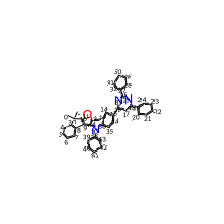 CC1(C)c2ccccc2-c2c1oc1c3cc(-c4cc(-c5ccccc5)nc(-c5ccccc5)n4)ccc3n(-c3ccccc3)c21